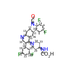 O=C=Nc1c(F)cc(F)cc1-c1ccc2ncc(-c3cc(F)cc(F)c3)c(N3CCC(NC(=O)O)CC3)c2c1